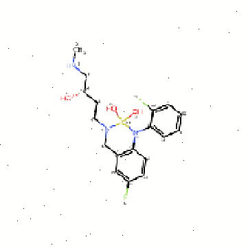 CNC[C@@H](O)CCN1Cc2cc(F)ccc2N(c2ccccc2F)S1(O)O